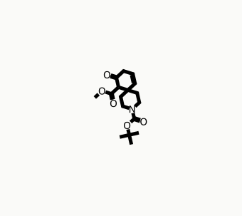 COC(=O)C1C(=O)CC=CC12CCN(C(=O)OC(C)(C)C)CC2